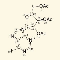 CC(=O)OC[C@H]1O[C@@H](n2cnc3c(I)ncnc32)[C@@H](OC(C)=O)[C@@H]1OC(C)=O